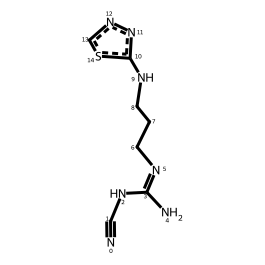 N#CNC(N)=NCCCNc1nncs1